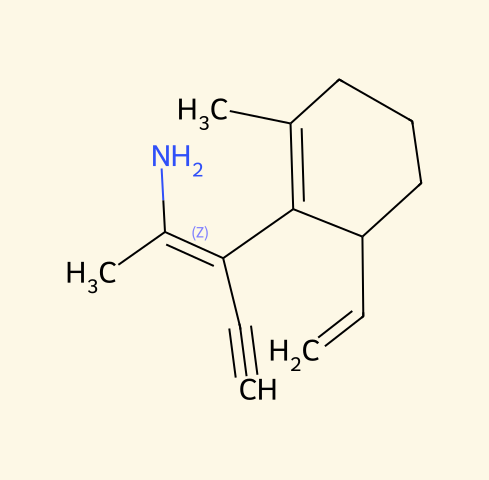 C#C/C(C1=C(C)CCCC1C=C)=C(\C)N